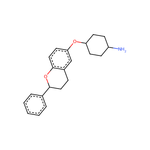 NC1CCC(Oc2ccc3c(c2)CCC(c2ccccc2)O3)CC1